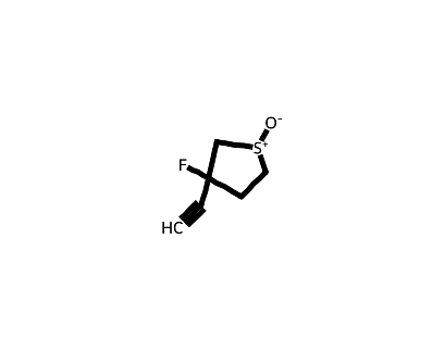 C#CC1(F)CC[S+]([O-])C1